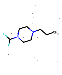 CCCN1CCN(C(F)F)CC1